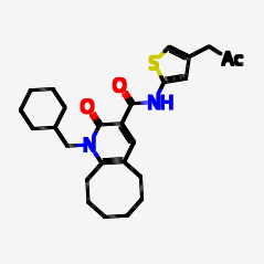 CC(=O)Cc1csc(NC(=O)c2cc3c(n(CC4CCCCC4)c2=O)CCCCCC3)c1